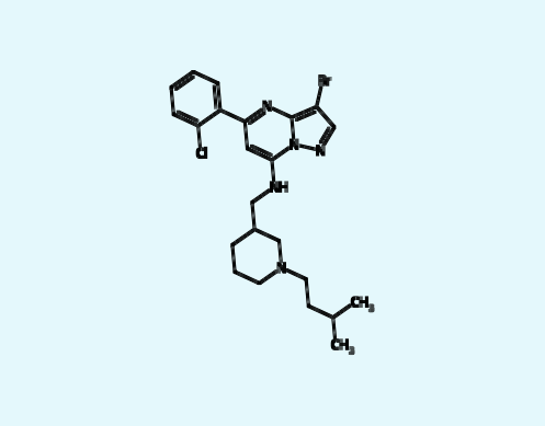 CC(C)CCN1CCCC(CNc2cc(-c3ccccc3Cl)nc3c(Br)cnn23)C1